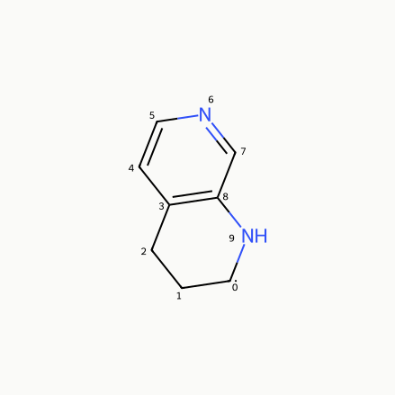 [CH]1CCc2ccncc2N1